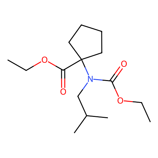 CCOC(=O)N(CC(C)C)C1(C(=O)OCC)CCCC1